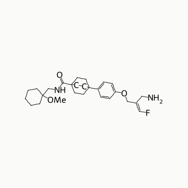 COC1(CNC(=O)C23CCC(c4ccc(OC/C(=C/F)CN)cc4)(CC2)CC3)CCCCC1